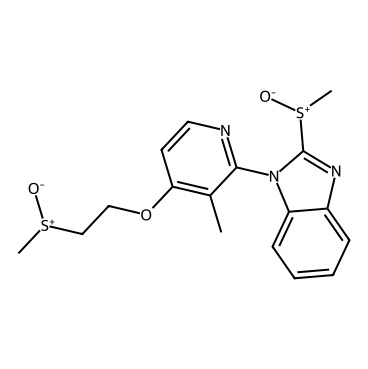 Cc1c(OCC[S+](C)[O-])ccnc1-n1c([S+](C)[O-])nc2ccccc21